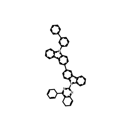 C1=CCC(c2nc(-n3c4ccccc4c4cc(-c5ccc6c(c5)c5ccccc5n6-c5cccc(-c6ccccc6)c5)ccc43)nc3c2CCC=C3)C=C1